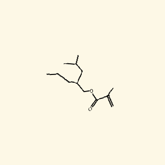 C=C(C)C(=O)OCC(CCC)CC(C)C